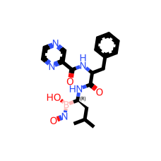 CC(C)C[C@H](NC(=O)C(Cc1ccccc1)NC(=O)c1cnccn1)B(O)N=O